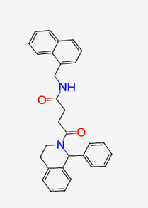 O=C(CCC(=O)N1CCc2ccccc2C1c1ccccc1)NCc1cccc2ccccc12